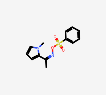 CC(=NOS(=O)(=O)c1ccccc1)c1cccn1C